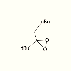 CCCCCC1(C(C)(C)C)OO1